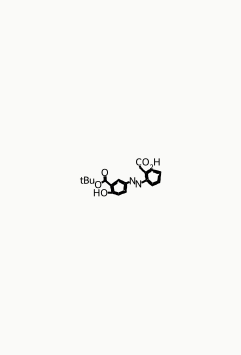 CC(C)(C)OC(=O)c1cc(N=Nc2ccccc2CC(=O)O)ccc1O